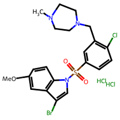 COc1ccc2c(c1)c(Br)cn2S(=O)(=O)c1ccc(Cl)c(CN2CCN(C)CC2)c1.Cl.Cl